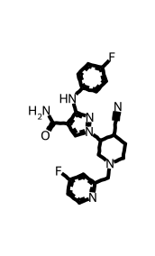 N#CC1CCN(Cc2cc(F)ccn2)CC1n1cc(C(N)=O)c(Nc2ccc(F)cc2)n1